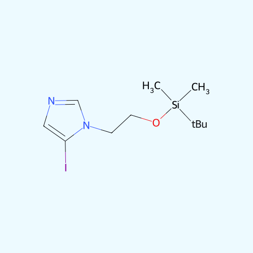 CC(C)(C)[Si](C)(C)OCCn1cncc1I